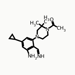 CC(=O)N1CCN(c2cc(C3CC3)cc(N)c2C=N)CC1(C)C